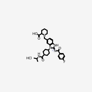 CC(C)NC(=O)C1CCC(n2/c(=N/C(=O)c3ccc(F)cc3)[nH]c3ccc(CN4CCCCC4C(=O)O)cc32)CC1.Cl